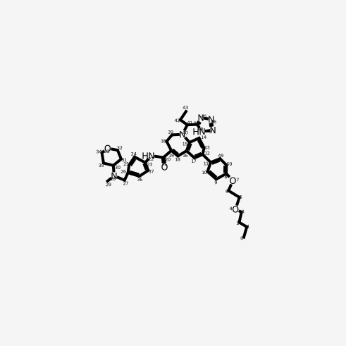 CCCCOCCOc1ccc(-c2ccc3c(c2)C=C(C(=O)Nc2ccc(CN(C)C4CCOCC4)cc2)CCN3C(CC)c2nnn[nH]2)cc1